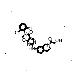 O=C(CO)N1CCc2ccc(Nc3ncc4c(n3)OCN(c3c(Cl)cccc3Cl)C4=O)cc2C1